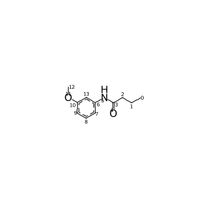 CCCC(=O)Nc1cccc(OC)c1